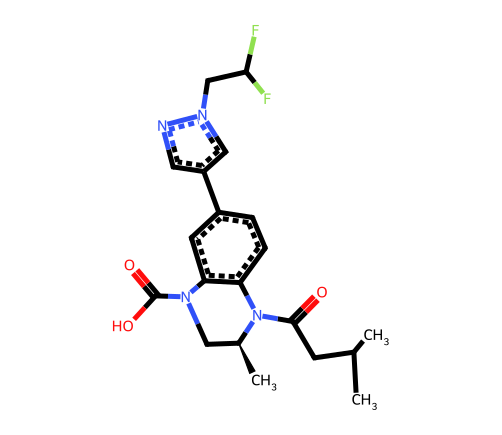 CC(C)CC(=O)N1c2ccc(-c3cnn(CC(F)F)c3)cc2N(C(=O)O)C[C@@H]1C